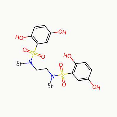 CCN(CCN(CC)S(=O)(=O)c1cc(O)ccc1O)S(=O)(=O)c1cc(O)ccc1O